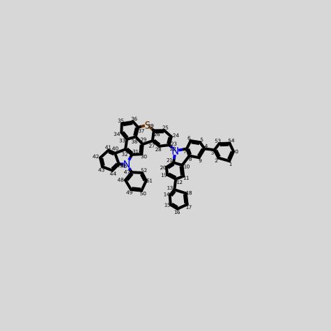 c1ccc(-c2ccc3c(c2)c2cc(-c4ccccc4)ccc2n3-c2ccc3c(c2)-c2cc4c(c5cccc(c25)S3)c2ccccc2n4-c2ccccc2)cc1